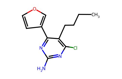 CCCCc1c(Cl)nc(N)nc1-c1ccoc1